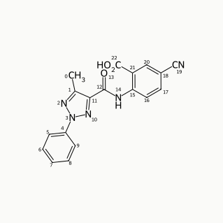 Cc1nn(-c2ccccc2)nc1C(=O)Nc1ccc(C#N)cc1C(=O)O